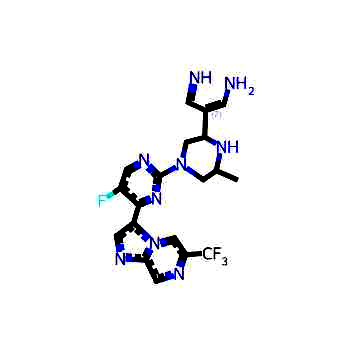 CC1CN(c2ncc(F)c(-c3cnc4cnc(C(F)(F)F)cn34)n2)CC(/C(C=N)=C/N)N1